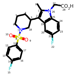 Cc1c(C2CCCN(S(=O)(=O)c3ccc(F)cc3)C2)c2cc(F)ccc2n1CC(=O)O